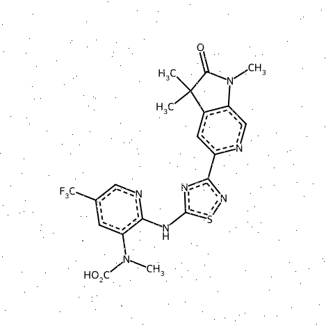 CN1C(=O)C(C)(C)c2cc(-c3nsc(Nc4ncc(C(F)(F)F)cc4N(C)C(=O)O)n3)ncc21